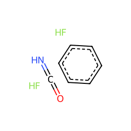 F.F.N=C=O.c1ccccc1